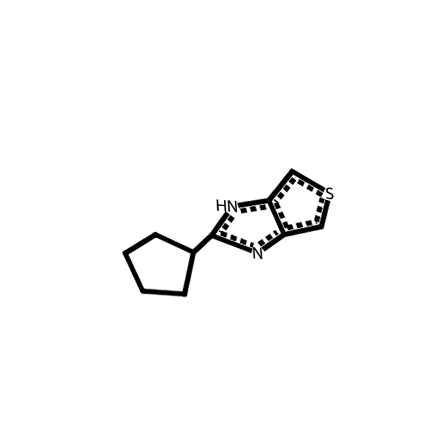 c1scc2[nH]c(C3CCCC3)nc12